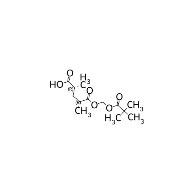 C[C@H](C[C@@H](C)C(=O)OCOC(=O)C(C)(C)C)C(=O)O